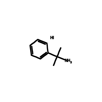 CC(C)(N)c1ccccc1.I